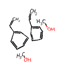 C=Cc1ccccc1.C=Cc1ccccc1.CO.CO